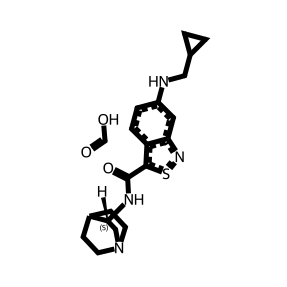 O=C(N[C@@H]1CN2CCC1CC2)c1snc2cc(NCC3CC3)ccc12.O=CO